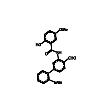 CNc1ccccc1-c1ccc(C=O)c(NC(=O)c2cc(OC)ccc2O)c1